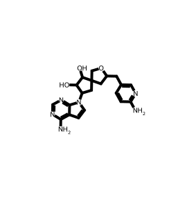 Nc1ccc(CC2CC3(CO2)CC(n2ccc4c(N)ncnc42)C(O)C3O)cn1